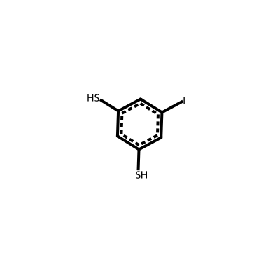 Sc1cc(S)cc(I)c1